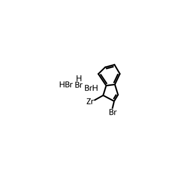 Br.Br.Br.BrC1=Cc2ccccc2[CH]1[Zr]